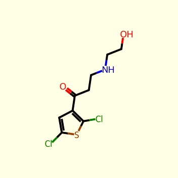 O=C(CCNCCO)c1cc(Cl)sc1Cl